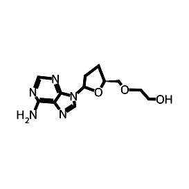 Nc1ncnc2c1ncn2C1CC[C@@H](COCCO)O1